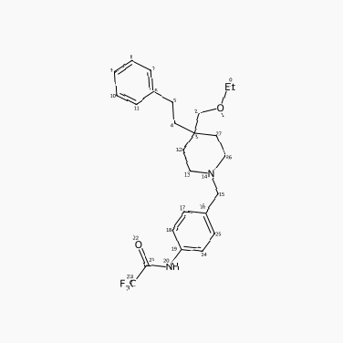 CCOCC1(CCc2ccccc2)CCN(Cc2ccc(NC(=O)C(F)(F)F)cc2)CC1